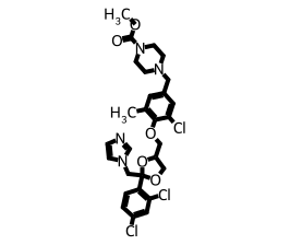 COC(=O)N1CCN(Cc2cc(C)c(OCC3COC(Cn4ccnc4)(c4ccc(Cl)cc4Cl)O3)c(Cl)c2)CC1